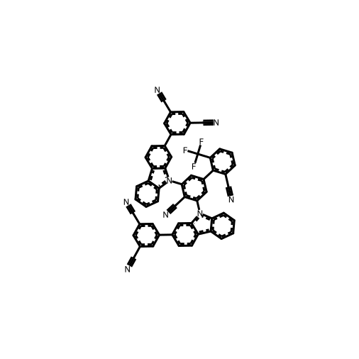 N#Cc1cc(C#N)cc(-c2ccc3c4ccccc4n(-c4cc(-c5c(C#N)cccc5C(F)(F)F)cc(-n5c6ccccc6c6ccc(-c7cc(C#N)cc(C#N)c7)cc65)c4C#N)c3c2)c1